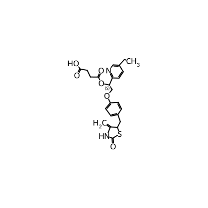 C=C1NC(=O)SC1Cc1ccc(OC[C@@H](OC(=O)CCC(=O)O)c2ccc(CC)cn2)cc1